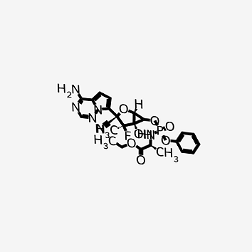 CCOC(=O)[C@H](C)NP(=O)(Oc1ccccc1)OC1[C@H]2O[C@@](C#N)(c3ccc4c(N)ncnn34)[C@](C)(F)[C@@]12O